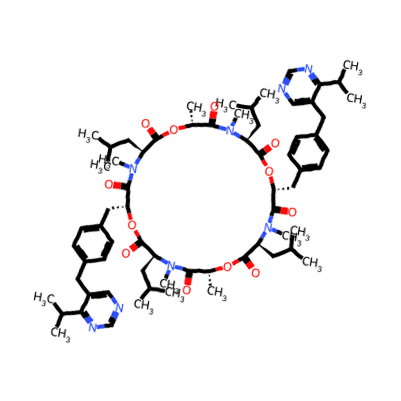 CC(C)C[C@H]1C(=O)O[C@H](Cc2ccc(Cc3cncnc3C(C)C)cc2)C(=O)N(C)[C@@H](CC(C)C)C(=O)O[C@H](C)C(=O)N(C)[C@@H](CC(C)C)C(=O)O[C@H](Cc2ccc(Cc3cncnc3C(C)C)cc2)C(=O)N(C)[C@@H](CC(C)C)C(=O)O[C@H](C)C(=O)N1C